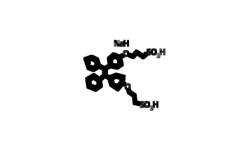 O=S(=O)(O)CCCOc1ccc(C(=C(c2ccccc2)c2ccc(OCCCS(=O)(=O)O)cc2)c2ccccc2)cc1.[NaH]